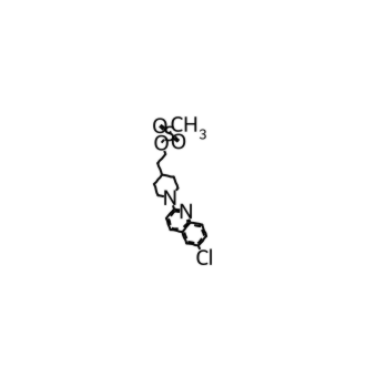 CS(=O)(=O)OCCC1CCN(c2ccc3cc(Cl)ccc3n2)CC1